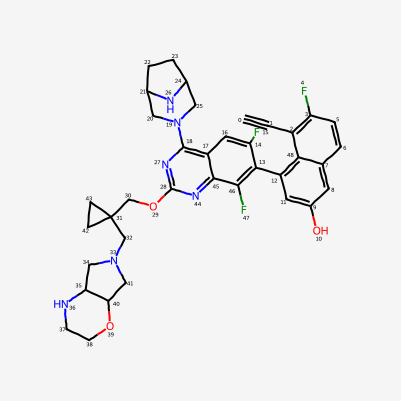 C#Cc1c(F)ccc2cc(O)cc(-c3c(F)cc4c(N5CC6CCC(C5)N6)nc(OCC5(CN6CC7NCCOC7C6)CC5)nc4c3F)c12